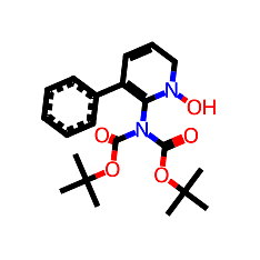 CC(C)(C)OC(=O)N(C(=O)OC(C)(C)C)C1=C(c2ccccc2)C=CCN1O